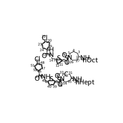 CCCCCCCCNC1CCCN(S(=O)(=O)c2ccc(CNC(=O)c3ccc(Cl)cc3)s2)CC1.CCCCCCCNC1CCCN(S(=O)(=O)c2ccc(CNC(=O)c3ccc(Cl)cc3)s2)CC1